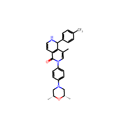 Cc1cn(-c2ccc(N3C[C@@H](C)O[C@@H](C)C3)cc2)c(=O)c2c1C(c1ccc(C(F)(F)F)cc1)NC=C2